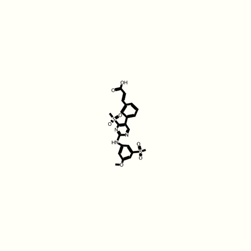 COc1cc(Nc2ncc(-c3cccc(C=CC(=O)O)c3)c(S(C)(=O)=O)n2)cc(S(C)(=O)=O)c1